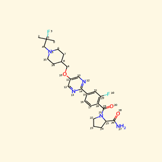 CC(C)(F)CN1CCC(COc2cnc(-c3ccc(C(=O)N4CCCC4C(N)=O)c(F)c3)nc2)CC1